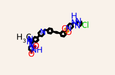 Cn1nc(N2CCC(=O)NC2=O)c2ccc(C3CCN(Cc4ccc(C#Cc5cccc(S(=O)(=O)N6CCC(Nc7ncc(Cl)cn7)CC6)c5)cc4)CC3)cc21